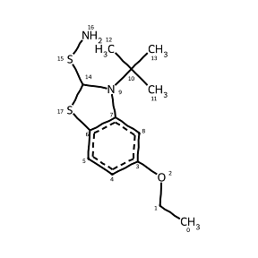 CCOc1ccc2c(c1)N(C(C)(C)C)C(SN)S2